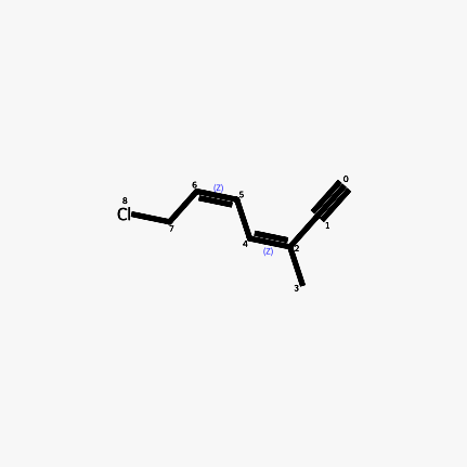 C#C/C(C)=C\C=C/CCl